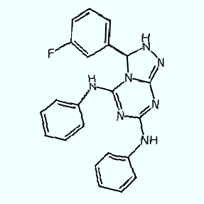 Fc1cccc(C2NN=C3N=C(Nc4ccccc4)N=C(Nc4ccccc4)N32)c1